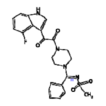 CS(=O)(=O)/N=C(\c1ccccc1)N1CCN(C(=O)C(=O)c2c[nH]c3cccc(F)c23)CC1